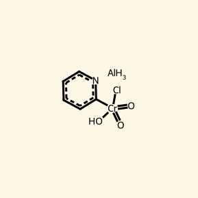 [AlH3].[O]=[Cr](=[O])([OH])([Cl])[c]1ccccn1